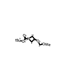 COCOC1CN(C(=O)OC(C)(C)C)C1